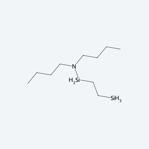 CCCCN(CCCC)[SiH2]CC[SiH3]